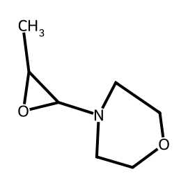 CC1OC1N1CCOCC1